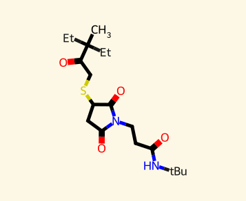 CCC(C)(CC)C(=O)CSC1CC(=O)N(CCC(=O)NC(C)(C)C)C1=O